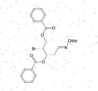 CON=CC[C@H](OC(=O)c1ccccc1)[C@H](Br)COC(=O)c1ccccc1